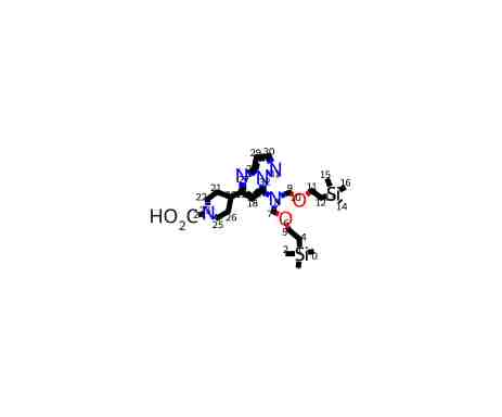 C[Si](C)(C)CCOCN(COCC[Si](C)(C)C)c1cc(C2CCN(C(=O)O)CC2)nc2ccnn12